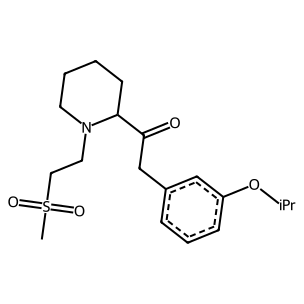 CC(C)Oc1cccc(CC(=O)C2CCCCN2CCS(C)(=O)=O)c1